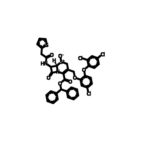 O=C(Cc1cccs1)NC1C(=O)N2C(C(=O)OC(c3ccccc3)c3ccccc3)=C(COc3cc(Cl)ccc3Oc3ccc(Cl)cc3Cl)C[S+]([O-])[C@H]12